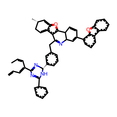 C=C/C=C(\C=C/C)C1=N[C@H](c2cccc(CC3=NC4C=C(c5cccc6c5oc5ccccc56)C=CC4c4oc5c(c43)=CC[C@H](C)C=5)c2)NC(c2ccccc2)=N1